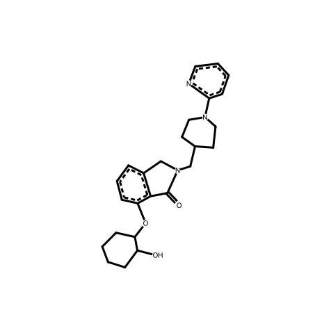 O=C1c2c(cccc2OC2CCCCC2O)CN1CC1CCN(c2ccccn2)CC1